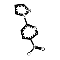 O=[N+]([O-])c1ccc(-n2cccn2)nc1